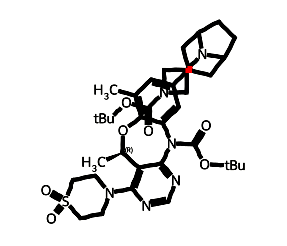 Cc1cc(C2CC3CCC(C2)N3C2CN(C(=O)OC(C)(C)C)C2)cc2c1O[C@H](C)c1c(N3CCS(=O)(=O)CC3)ncnc1N2C(=O)OC(C)(C)C